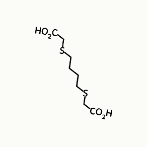 O=C(O)CSCCCCSCC(=O)O